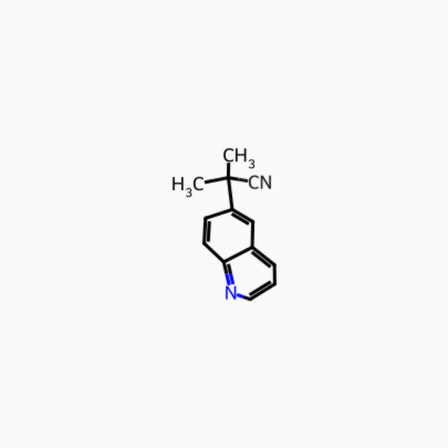 CC(C)(C#N)c1ccc2ncccc2c1